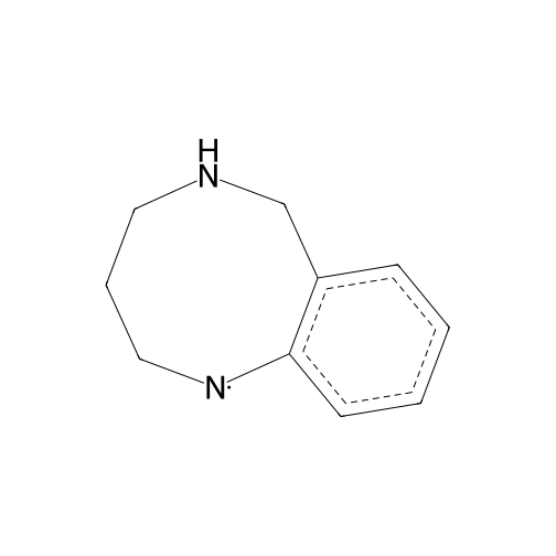 c1ccc2c(c1)CNCCC[N]2